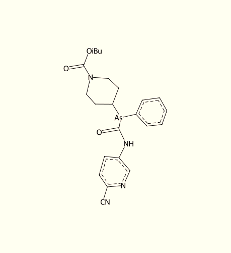 CC(C)COC(=O)N1CCC([As](C(=O)Nc2ccc(C#N)nc2)c2ccccc2)CC1